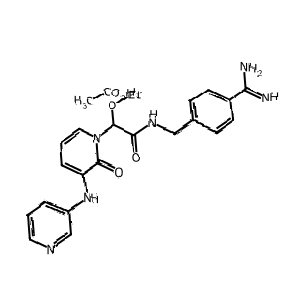 CC(=O)O.CCOC(C(=O)NCc1ccc(C(=N)N)cc1)n1cccc(Nc2cccnc2)c1=O